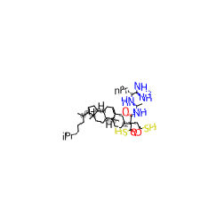 CCCC(NC(C)NC(=O)C(CC(=O)S)(C(=O)S)[C@H]1CC[C@@]2(C)C(=CC[C@H]3[C@@H]4CC[C@H]([C@H](C)CCCC(C)C)[C@@]4(C)CC[C@@H]32)C1)C(=N)N